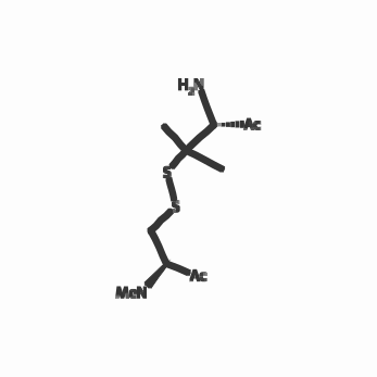 CN[C@@H](CSSC(C)(C)[C@H](N)C(C)=O)C(C)=O